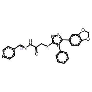 O=C(CSc1nnc(-c2ccc3c(c2)OCO3)n1-c1ccccc1)N/N=C/c1ccncc1